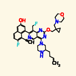 C#Cc1c(F)ccc2cc(O)cc(-c3ncc4c(N5CCNC(CCC=C)C5)nc(OCC5(CN6CCOCC6)CC5)nc4c3CF)c12